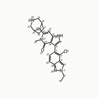 CCn1cc2c(Cl)c(-c3c[nH]c4nc(N5C6CCC5CNC6)n(C)c(=O)c34)ccc2n1